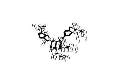 CN(Cc1ccc(-c2nnc(-c3nc(N4C[C@@H]5CCC(OS(C)(=O)=O)[C@@H]5C4)cnc3N(C(=O)OC(C)(C)C)C(=O)OC(C)(C)C)o2)cc1)C(=O)OC(C)(C)C